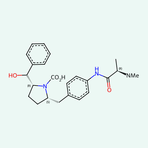 CN[C@H](C)C(=O)Nc1ccc(C[C@@H]2CC[C@H](C(O)c3ccccc3)N2C(=O)O)cc1